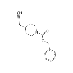 C#CCC1CCN(C(=O)OCc2ccccc2)CC1